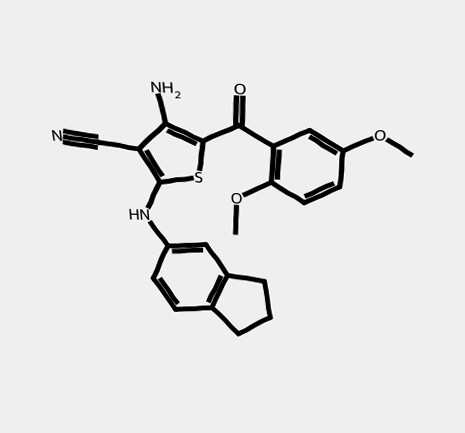 COc1ccc(OC)c(C(=O)c2sc(Nc3ccc4c(c3)CCC4)c(C#N)c2N)c1